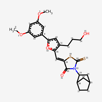 COc1cc(OC)cc(-c2cc(CCCO)c(/C=C3\SC(=S)N(C4CC5CCC4C5)C3=O)o2)c1